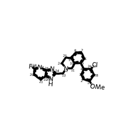 COc1ccc(-c2cccc3c2CN(Cc2nc4nc(F)ccc4[nH]2)CC3)c(Cl)c1